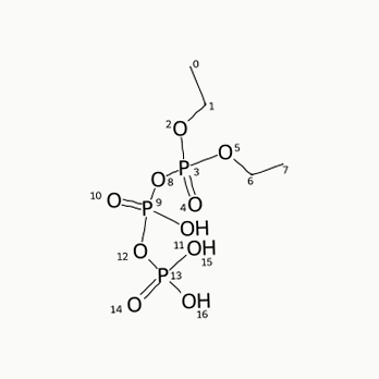 CCOP(=O)(OCC)OP(=O)(O)OP(=O)(O)O